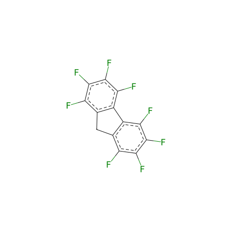 Fc1c(F)c(F)c2c(c1F)Cc1c(F)c(F)c(F)c(F)c1-2